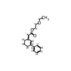 CCOCCOC(=O)C=C1C=C(c2ccccc2)CCC1